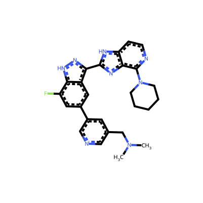 CN(C)Cc1cncc(-c2cc(F)c3[nH]nc(-c4nc5c(N6CCCCC6)nccc5[nH]4)c3c2)c1